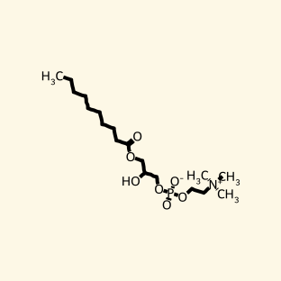 CCCCCCCCCC(=O)OCC(O)COP(=O)([O-])OCC[N+](C)(C)C